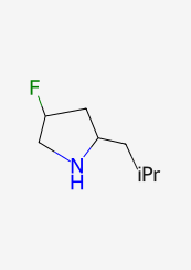 CC(C)CC1CC(F)CN1